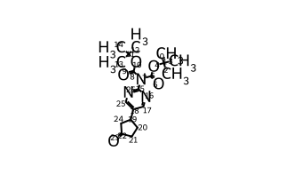 CC(C)(C)OC(=O)N(C(=O)OC(C)(C)C)c1ncc(C2CCC(=O)C2)cn1